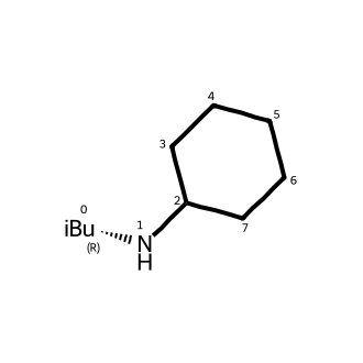 CC[C@@H](C)NC1CCCCC1